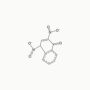 O=C1C([N+](=O)[O-])=CC([N+](=O)[O-])c2ccccc21